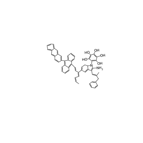 C\C=C/C=C(\C=C\c1c2ccccc2c(-c2ccc3cc4ccccc4cc3c2)c2ccccc12)C1=CCC2C(=C1)C(/C=C(\C)Cc1ccccc1)=C(N)N2c1c(O)c(O)c(O)c(O)c1O